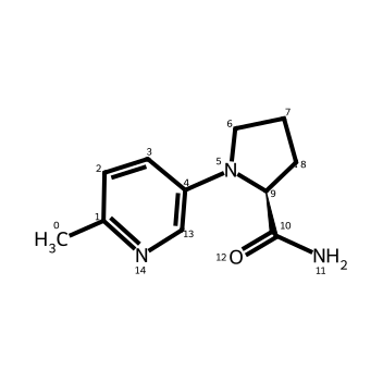 Cc1ccc(N2CC[CH][C@H]2C(N)=O)cn1